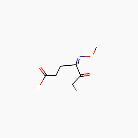 CON=C(CCC(=O)O)C(=O)CBr